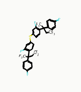 Fc1ccc(C(CC(F)(F)F)(c2ccc(Sc3ccc(C(CC(F)(F)F)(c4ccc(F)cc4)C(F)(F)F)c(F)c3)cc2F)C(F)(F)F)cc1